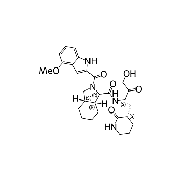 COc1cccc2[nH]c(C(=O)N3C[C@H]4CCCC[C@H]4[C@@H]3C(=O)N[C@@H](C[C@@H]3CCCNC3=O)C(=O)CO)cc12